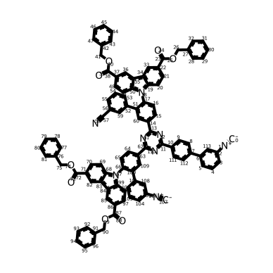 [C-]#[N+]c1cccc(-c2ccc(-c3nc(-c4ccc(-n5c6ccc(C(=O)OCc7ccccc7)cc6c6cc(C(=O)OCc7ccccc7)ccc65)c(-c5cccc(C#N)c5)c4)nc(-c4ccc(-n5c6ccc(C(=O)OCc7ccccc7)cc6c6cc(C(=O)OCc7ccccc7)ccc65)c(-c5cccc([N+]#[C-])c5)c4)n3)cc2)c1